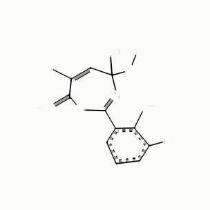 C=C1OC(c2cccc(Br)c2C)=NC(C)(OC)C=C1Cl